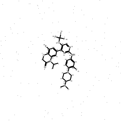 CC(C)N1C(=O)COc2c(F)cc(-c3nc(Nc4ccc(N5CCC(N(C)C)CC5)c(F)c4)ncc3OC(F)(F)F)cc21